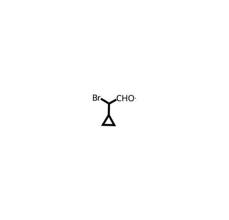 O=[C]C(Br)C1CC1